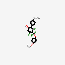 CCCCCCCCCc1ccc(-c2c([O])cc(F)c(C(F)(F)Oc3ccc(OC(F)(F)F)cc3)c2F)cc1